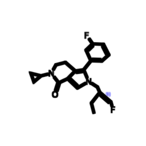 CC/C(=C\F)Cn1cc2c(c1-c1cccc(F)c1)CCN(C1CC1)C2=O